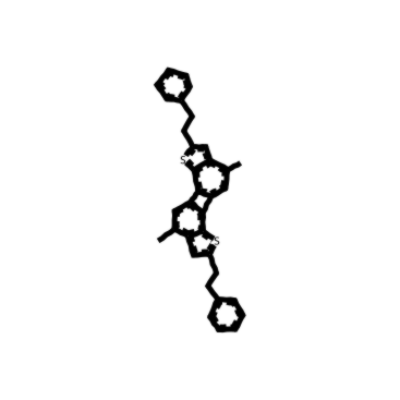 Cc1cc2c(c3sc(CCc4ccccc4)cc13)-c1cc(C)c3cc(CCc4ccccc4)sc3c1-2